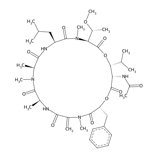 C=C1C(=O)N[C@@H](C)C(=O)N(C)[C@@H](C)C(=O)N[C@@H]([CH]C(C)C)C(=O)N(C)[C@@H]([C@@H](C)OC)C(=O)O[C@H](C(C)C)[C@H](NC(C)=O)C(=O)O[C@H](Cc2ccccc2)C(=O)N1C